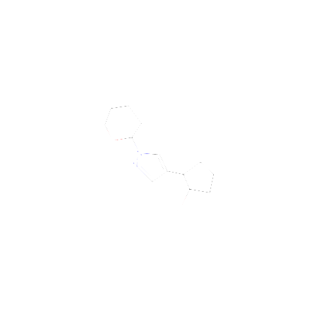 OC1CCCC1c1cnn(C2CCCCO2)c1